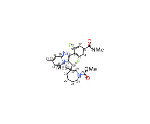 CNC(=O)c1cc(F)c(-c2nc3cc(C)ccn3c2C[C@@]2(SC)CCCCN(C(=O)OC)C2)c(F)c1